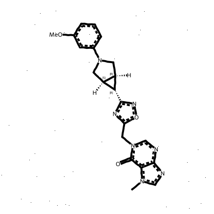 COc1cccc(N2C[C@@H]3[C@H](C2)[C@H]3c2noc(Cn3cnc4ncn(C)c4c3=O)n2)c1